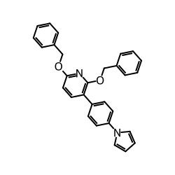 c1ccc(COc2ccc(-c3ccc(-n4cccc4)cc3)c(OCc3ccccc3)n2)cc1